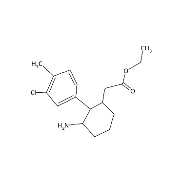 CCOC(=O)CC1CCCC(N)C1c1ccc(C)c(Cl)c1